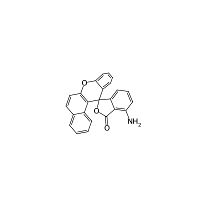 Nc1cccc2c1C(=O)OC21c2ccccc2Oc2ccc3ccccc3c21